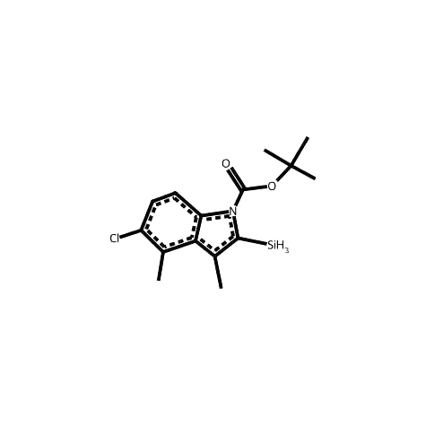 Cc1c(Cl)ccc2c1c(C)c([SiH3])n2C(=O)OC(C)(C)C